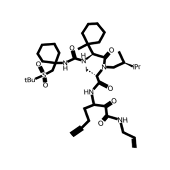 C#CCCC(NC(=O)[C@H](I)N(C[C@@H](C)C(C)C)C(=O)[C@@H](NC(=O)NC1(CS(=O)(=O)C(C)(C)C)CCCCC1)C1(C)CCCCC1)C(=O)C(=O)NCC=C